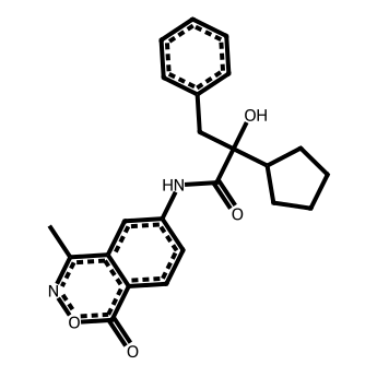 Cc1noc(=O)c2ccc(NC(=O)C(O)(Cc3ccccc3)C3CCCC3)cc12